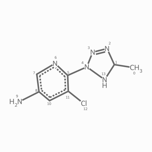 CC1N=NN(c2ncc(N)cc2Cl)N1